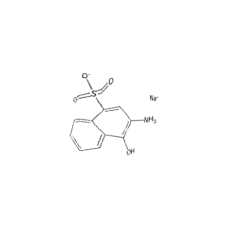 Nc1cc(S(=O)(=O)[O-])c2ccccc2c1O.[Na+]